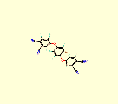 N#Cc1c(F)c(F)c(Oc2c(F)c(F)c(Oc3c(F)c(F)c(C#N)c(C#N)c3F)c(Br)c2F)c(F)c1C#N